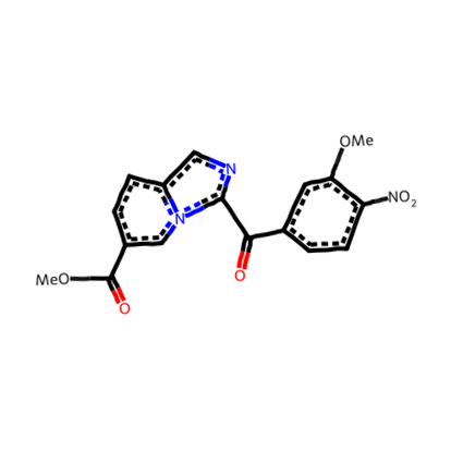 COC(=O)c1ccc2cnc(C(=O)c3ccc([N+](=O)[O-])c(OC)c3)n2c1